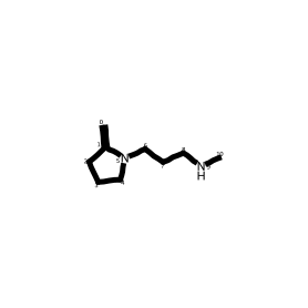 C=C1CCCN1CCCNC